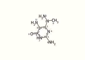 CN(N)c1nc(N)[nH]c(=O)c1N